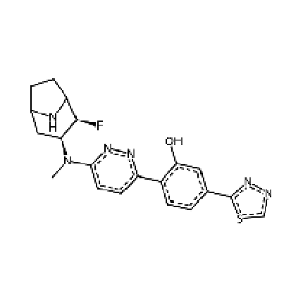 CN(c1ccc(-c2ccc(-c3nncs3)cc2O)nn1)[C@H]1CC2CCC(N2)[C@H]1F